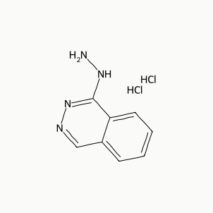 Cl.Cl.NNc1nncc2ccccc12